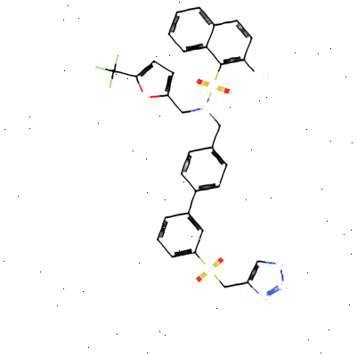 Cc1ccc2ccccc2c1S(=O)(=O)N(Cc1ccc(-c2cccc(S(=O)(=O)Cc3c[nH]nn3)c2)cc1)Cc1ccc(C(F)(F)F)o1